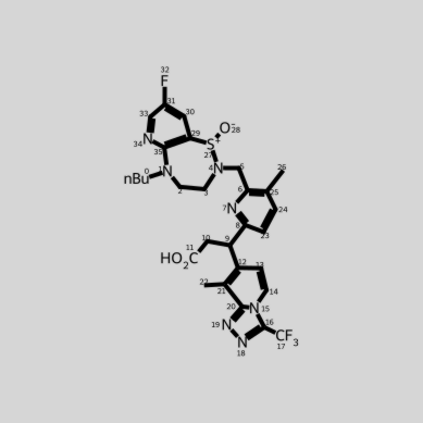 CCCCN1CCN(Cc2nc(C(CC(=O)O)c3ccn4c(C(F)(F)F)nnc4c3C)ccc2C)[S+]([O-])c2cc(F)cnc21